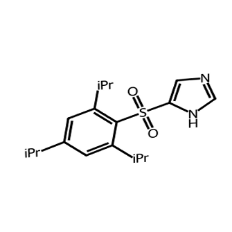 CC(C)c1cc(C(C)C)c(S(=O)(=O)c2cnc[nH]2)c(C(C)C)c1